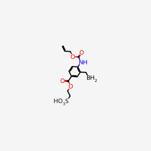 BCc1cc(C(=O)OCCS(=O)(=O)O)ccc1NC(=O)OCC=C